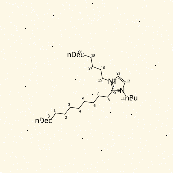 CCCCCCCCCCCCCCCCCCc1n(CCCC)cc[n+]1CCCCCCCCCCCCCC